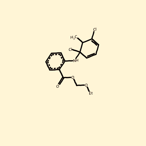 CCOCOC(=O)c1ccccc1NC1(Cl)C=CC=C(Cl)C1C